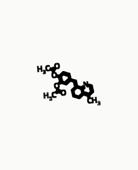 CC(=O)Oc1ccc(C=C2CCCc3c(C)ccnc32)cc1OC(C)=O